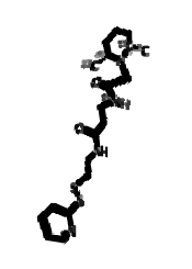 [13CH3][C@@H]1CCC[13C@H]([13CH3])N1CC(=O)[15NH]CCC(=O)NCCSSc1ccccn1